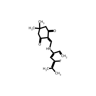 C=C/C(=C\C(F)=C(C)C)NC=C1C(=O)CC(C)(C)CC1=O